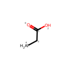 O=C(O)[CH2][AlH2]